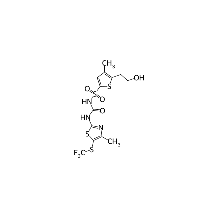 Cc1cc(S(=O)(=O)NC(=O)Nc2nc(C)c(SC(F)(F)F)s2)sc1CCO